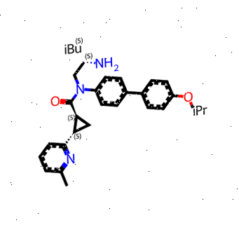 CC[C@H](C)[C@H](N)CN(C(=O)[C@H]1C[C@@H]1c1cccc(C)n1)c1ccc(-c2ccc(OC(C)C)cc2)cc1